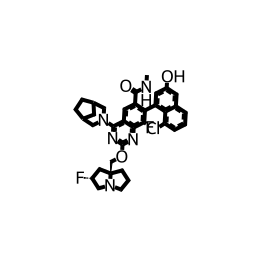 CNC(=O)c1cc2c(N3CC4CCC(C4)C3)nc(OC[C@@]34CCCN3C[C@H](F)C4)nc2c(F)c1-c1cc(O)cc2cccc(Cl)c12